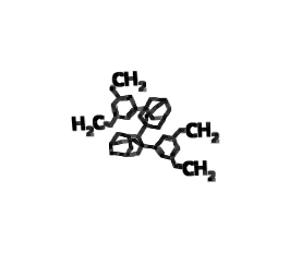 C=Cc1cc(C=C)cc(C23CC4CC(C2)CC(C2C5CC6CC(C5)CC2(c2cc(C=C)cc(C=C)c2)C6)(C4)C3)c1